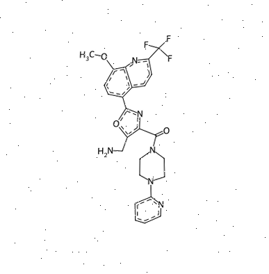 COc1ccc(-c2nc(C(=O)N3CCN(c4ccccn4)CC3)c(CN)o2)c2ccc(C(F)(F)F)nc12